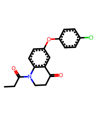 CCC(=O)N1CCC(=O)c2cc(Oc3ccc(Cl)cc3)ccc21